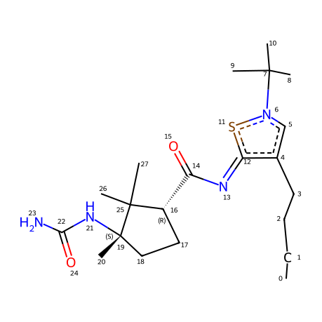 CCCCc1cn(C(C)(C)C)sc1=NC(=O)[C@@H]1CC[C@](C)(NC(N)=O)C1(C)C